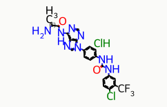 C[C@H](N)C(=O)Nc1ncnc2c1ncn2-c1ccc(NC(=O)Nc2ccc(Cl)c(C(F)(F)F)c2)cc1.Cl